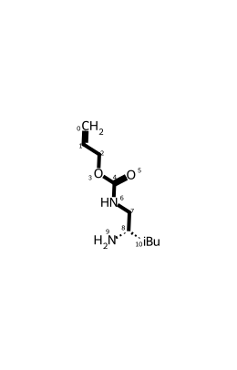 C=CCOC(=O)NC[C@@H](N)[C@@H](C)CC